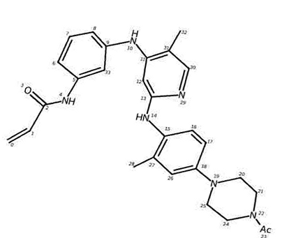 C=CC(=O)Nc1cccc(Nc2cc(Nc3ccc(N4CCN(C(C)=O)CC4)cc3C)ncc2C)c1